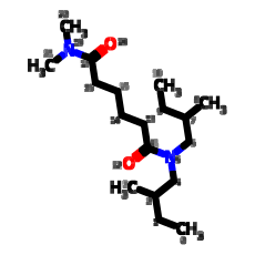 CCC(C)CN(CC(C)CC)C(=O)CCCCC(=O)N(C)C